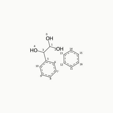 OC(O)C(O)c1ccccc1.c1ccccc1